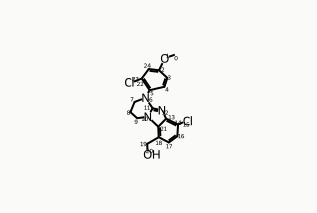 COc1ccc(N2CCCn3c2nc2c(Cl)ccc(CO)c23)c(Cl)c1